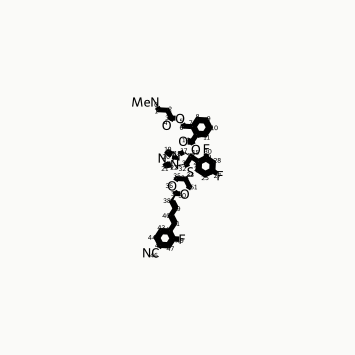 CNCCC(=O)OCc1ccccc1C(=O)O[C@@](Cn1cncn1)(c1ccc(F)cc1F)[C@@H](C)S[C@H]1CO[C@H](/C=C/C=C/c2ccc(C#N)cc2F)OC1